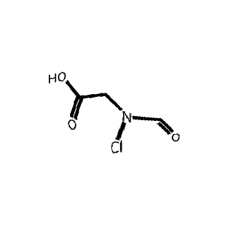 O=CN(Cl)CC(=O)O